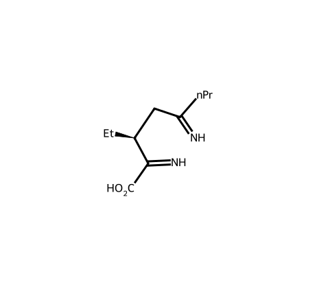 CCCC(=N)C[C@H](CC)C(=N)C(=O)O